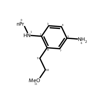 CCCNc1ccc(N)cc1CCOC